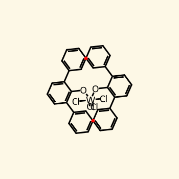 [Cl][W]([Cl])([Cl])([Cl])([O]c1c(-c2ccccc2)cccc1-c1ccccc1)[O]c1c(-c2ccccc2)cccc1-c1ccccc1